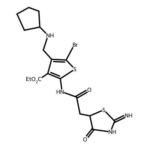 CCOC(=O)c1c(NC(=O)CC2SC(=N)NC2=O)sc(Br)c1CNC1CCCC1